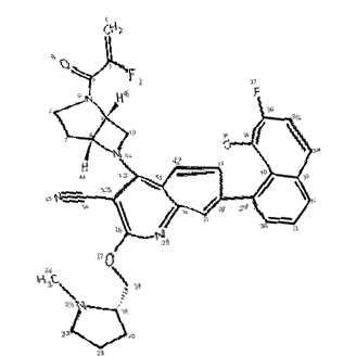 C=C(F)C(=O)N1CC[C@@H]2[C@H]1CN2c1c(C#N)c(OC[C@@H]2CCCN2C)nc2cc(-c3cccc4ccc(F)c(Cl)c34)ccc12